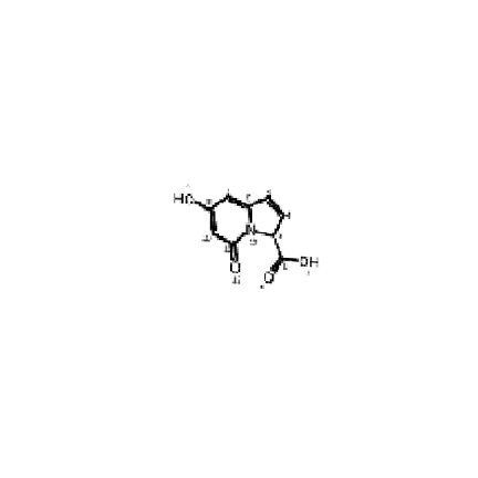 O=C(O)[C@@H]1C=Cc2cc(O)cc(=O)n21